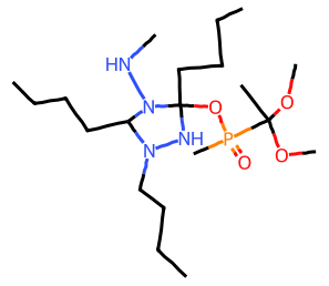 CCCCC1N(CCCC)NC(CCCC)(OP(C)(=O)C(C)(OC)OC)N1NC